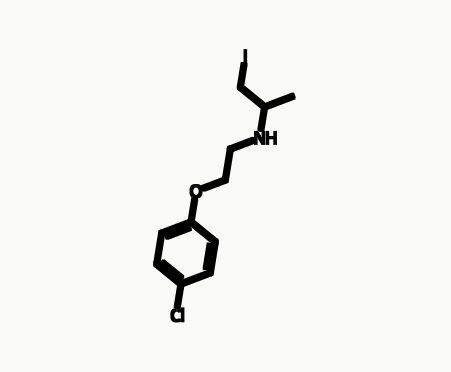 CC(CI)NCCOc1ccc(Cl)cc1